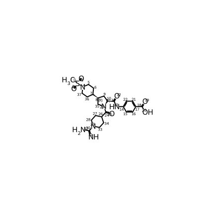 CS(=O)(=O)N1CCC([C@H]2C[C@@H](C(=O)Nc3ccc(C(=O)O)cc3)N(C(=O)C3CCN(C(=N)N)CC3)C2)CC1